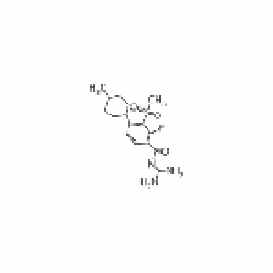 CC1CCC(c2ccc(C(=O)N=C(N)N)c(F)c2S(C)(=O)=O)CC1